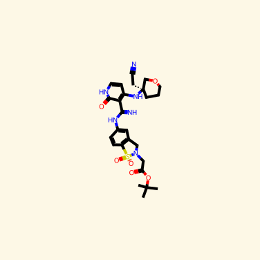 CC(C)(C)OC(=O)CN1Cc2cc(NC(=N)c3c(N[C@]4(CC#N)CCCOC4)cc[nH]c3=O)ccc2S1(=O)=O